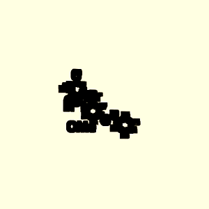 COc1cc(C(Br)C2(Br)SC(=O)N(C)C2=O)c(Br)cc1OCc1ccccc1